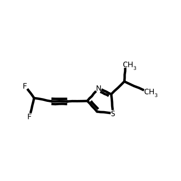 CC(C)c1nc(C#CC(F)F)cs1